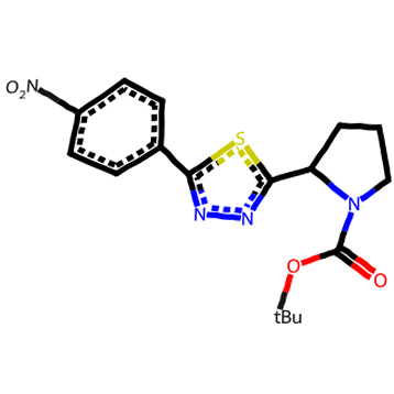 CC(C)(C)OC(=O)N1CCCC1c1nnc(-c2ccc([N+](=O)[O-])cc2)s1